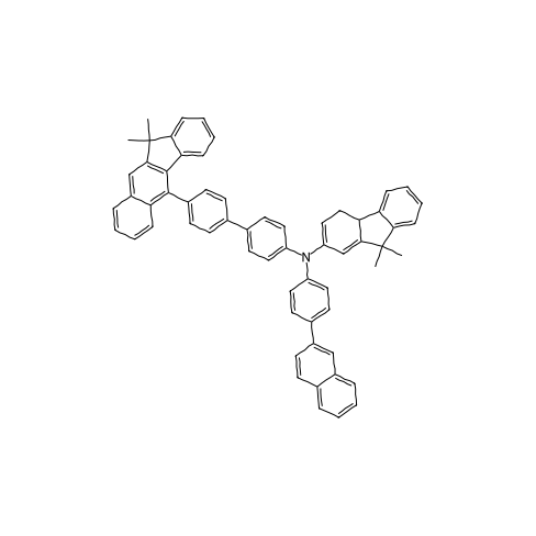 CC1(C)C2=CC(N(c3ccc(-c4ccc(-c5c6c(cc7ccccc57)C(C)(C)c5ccccc5-6)cc4)cc3)c3ccc(-c4ccc5ccccc5c4)cc3)=CCC2c2ccccc21